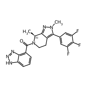 C[C@H]1c2nn(C)c(-c3cc(F)c(F)c(F)c3)c2CCN1C(=O)c1cccc2[nH]nnc12